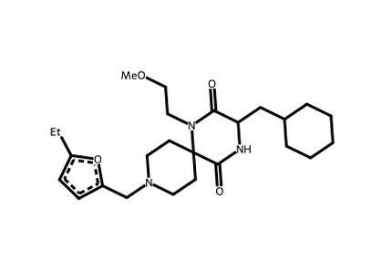 CCc1ccc(CN2CCC3(CC2)C(=O)NC(CC2CCCCC2)C(=O)N3CCOC)o1